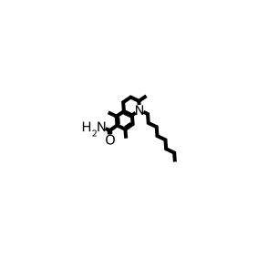 CCCCCCCCN1c2cc(C)c(C(N)=O)c(C)c2CCC1C